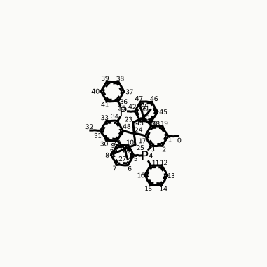 Cc1cc(P(c2ccccc2)c2ccccc2)c2c(c1)C(C)(C)CC21CC(C)(C)c2cc(C)cc(P(c3ccccc3)c3ccccc3)c21